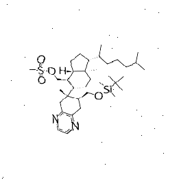 CC(C)CCCC(C)[C@H]1CC[C@H]2[C@H](COS(C)(=O)=O)[C@@H]([C@@]3(C)Cc4nccnc4C[C@@H]3CO[Si](C)(C)C(C)(C)C)CC[C@]12C